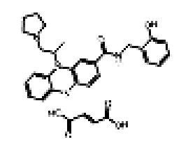 CC(CN1CCCC1)N1c2ccccc2Sc2ccc(C(=O)NCc3ccccc3O)cc21.O=C(O)/C=C/C(=O)O